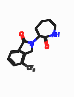 O=C1NCCCCC1N1Cc2c(cccc2C(F)(F)F)C1=O